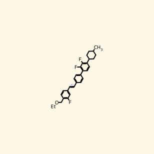 CCOCc1ccc(/C=C/c2ccc(-c3ccc(C4CCC(C)CC4)c(F)c3F)cc2)cc1F